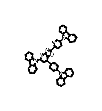 c1ccc2c(c1)c1ccccc1n2-c1ccc(-c2cc(-n3c4ccccc4c4ccccc43)nc3nc(-c4ccc(-n5c6ccccc6c6ccccc65)cn4)oc23)cc1